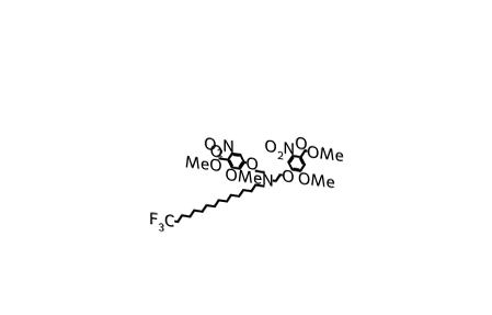 COC(=O)c1cc(OC)c(OCCN(CCCCCCCCCCCCCCCC(F)(F)F)CCOc2cc([N+](=O)[O-])c(C(=O)OC)cc2OC)cc1[N+](=O)[O-]